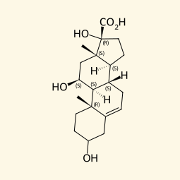 C[C@]12CCC(O)CC1=CC[C@@H]1[C@@H]2[C@@H](O)C[C@@]2(C)[C@H]1CC[C@]2(O)C(=O)O